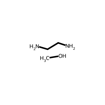 CO.NCCN